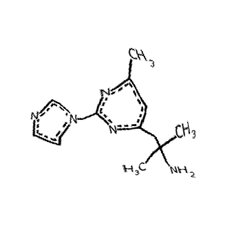 Cc1cc(C(C)(C)N)nc(-n2ccnc2)n1